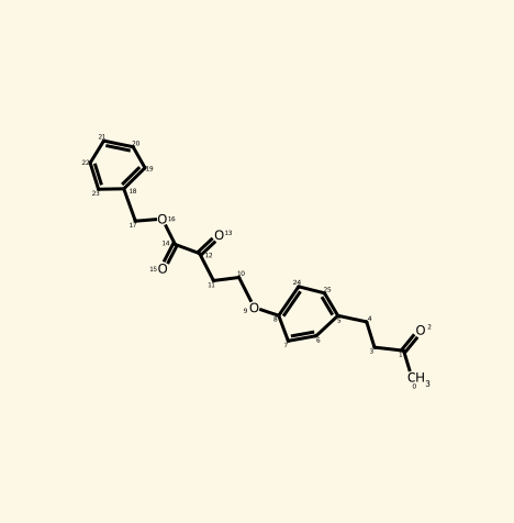 CC(=O)CCc1ccc(OCCC(=O)C(=O)OCc2ccccc2)cc1